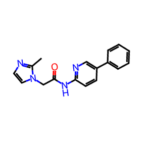 Cc1nccn1CC(=O)Nc1ccc(-c2ccccc2)cn1